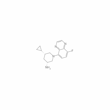 N[C@@H]1C[C@H](C2CC2)CN(c2ccc(F)c3nccnc23)C1